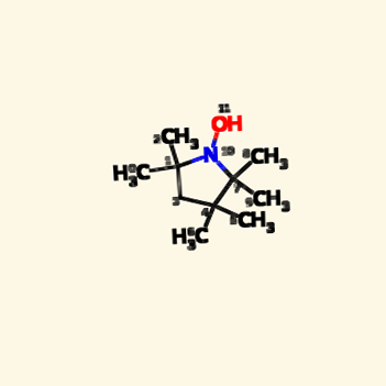 CC1(C)CC(C)(C)C(C)(C)N1O